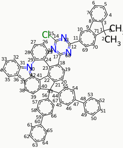 CC1(C)c2ccccc2-c2cc(-c3nc(Cl)nc(-c4ccc5c6c4-c4ccccc4-n4c7ccccc7c7ccc(c-6c74)C5(c4ccc(-c5ccccc5)cc4)c4ccc(-c5ccccc5)cc4)n3)ccc21